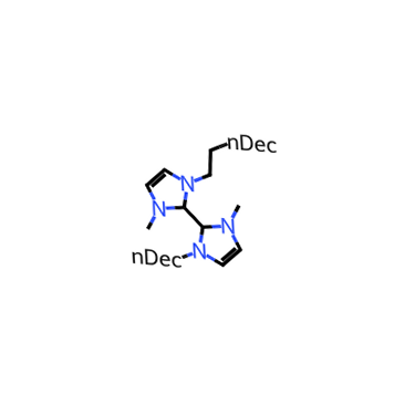 CCCCCCCCCCCCN1C=CN(C)C1C1N(C)C=CN1CCCCCCCCCC